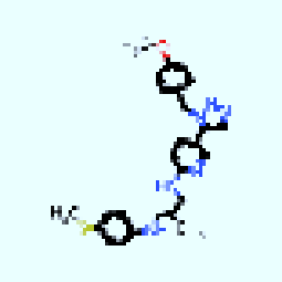 COc1ccc(Cn2nncc2-c2ccc(NCC(C)CNc3ccc(SC)cc3)nc2)cc1